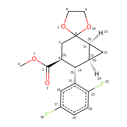 COC(=O)[C@H]1CC2(OCCO2)[C@H]2C[C@H]2[C@@H]1c1cc(F)ccc1F